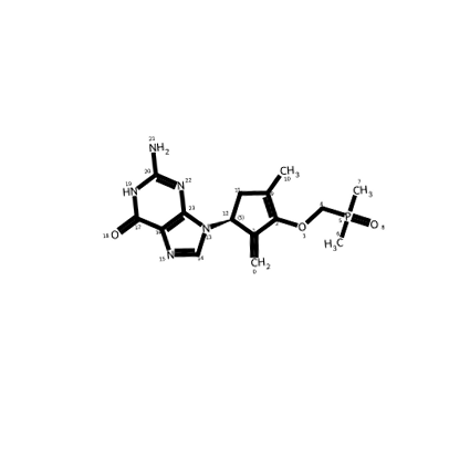 C=C1C(OCP(C)(C)=O)=C(C)C[C@@H]1n1cnc2c(=O)[nH]c(N)nc21